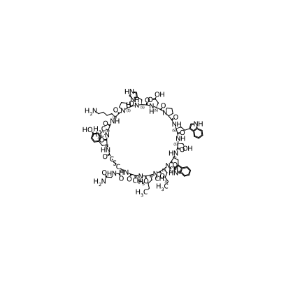 CCCC[C@H]1C(=O)N(C)[C@@H](CCCC)C(=O)N[C@@H](C)C(=O)N[C@H](C(=O)NCC(N)=O)CSCC(=O)N[C@@H](Cc2ccc(O)cc2)C(=O)N(C)[C@@H](C)C(=O)N[C@@H](CCCCN)C(=O)N2CCC[C@H]2C(=O)N[C@@H](Cc2c[nH]cn2)C(=O)N[C@@H](CC(=O)O)C(=O)N2CCCC2C(=O)N[C@@H](CCc2c[nH]c3ccccc23)C(=O)N[C@@H](CO)C(=O)N[C@@H](Cc2c[nH]c3ccccc23)C(=O)N1C